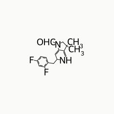 CC1(C)CN(C=O)C2=CC(Cc3ccc(F)cc3F)NC=C21